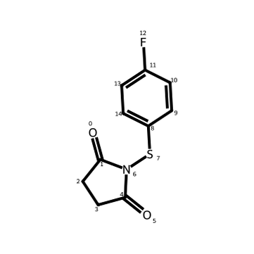 O=C1CCC(=O)N1Sc1ccc(F)cc1